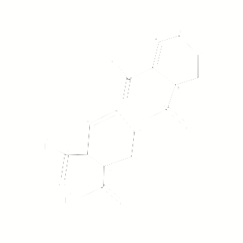 O=C(O)C1=CCCCC1C(=O)O.O=C(O)C1C=CCCC1C(=O)O